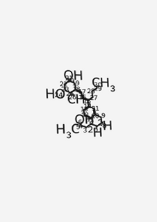 [2H]C(CCC(C)O)C([2H])Cc1cccc(C(=CC=C2C[C@@H](O)C[C@H](O)C2=C)CCCC)c1